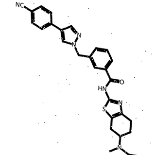 CN(C1CC1)C1CCc2nc(NC(=O)c3cccc(Cn4cc(-c5ccc(C#N)cc5)cn4)c3)sc2C1